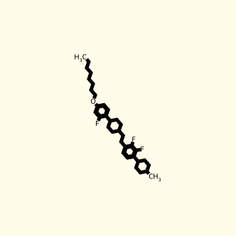 CCCCCCCCOc1ccc(C2CCC(CCc3ccc(C4CCC(C)CC4)c(F)c3F)CC2)c(F)c1